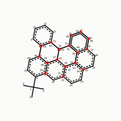 CC(C)(C)c1ccc(-c2ccccc2N(c2ccccc2-c2ccccc2)c2ccccc2-c2cccc3cccc(C4CCCCC4)c23)cc1